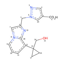 O=C(O)c1cnn(Cc2cn3cccc(C4(CO)CC4)c3n2)c1